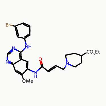 CCOC(=O)C1CCN(C/C=C/C(=O)Nc2cc3c(Nc4cccc(Br)c4)ncnc3cc2OC)CC1